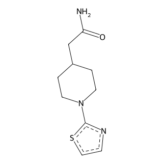 NC(=O)CC1CCN(c2nccs2)CC1